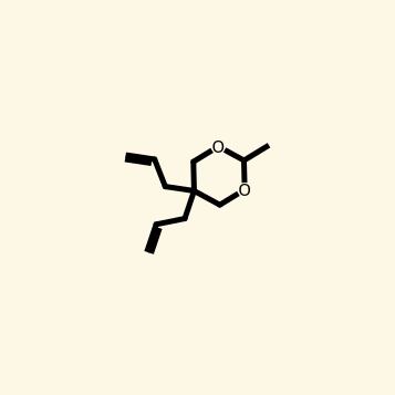 C=CCC1(CC=C)COC(C)OC1